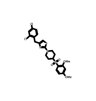 COc1ccc(S(=O)(=O)C2CCN(c3nc(Cc4ccc(Cl)cc4Cl)cs3)CC2)c(OC)c1